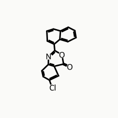 O=c1oc(-c2cccc3ccccc23)nc2ccc(Cl)cc12